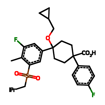 Cc1c(F)cc(C2(OCC3CC3)CCC(C(=O)O)(c3ccc(F)cc3)CC2)cc1S(=O)(=O)CC(C)C